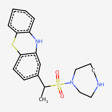 CC(c1ccc2c(c1)Nc1ccccc1S2)S(=O)(=O)N1CCCNCC1